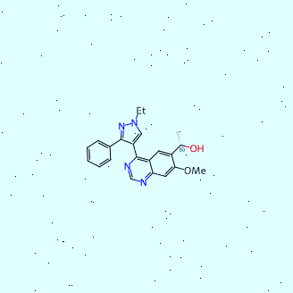 CCn1cc(-c2ncnc3cc(OC)c([C@H](C)O)cc23)c(-c2ccccc2)n1